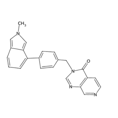 Cn1cc2cccc(-c3ccc(Cn4cnc5cnccc5c4=O)cc3)c2c1